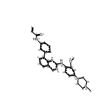 C=CC(=O)Nc1cccc(-c2cccc3cnc(Nc4ccc(N5CCN(C)CC5)cc4OC)nc23)c1